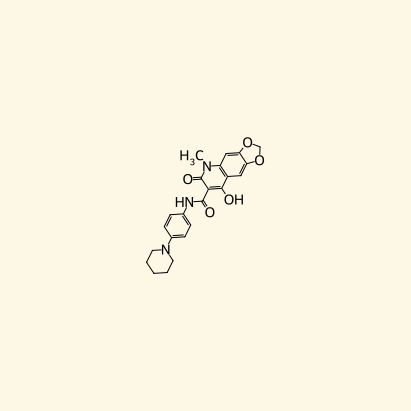 Cn1c(=O)c(C(=O)Nc2ccc(N3CCCCC3)cc2)c(O)c2cc3c(cc21)OCO3